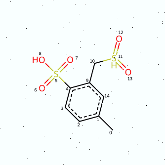 Cc1ccc(S(=O)(=O)O)c(C[SH](=O)=O)c1